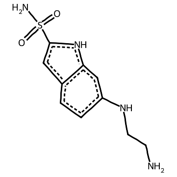 NCCNc1ccc2cc(S(N)(=O)=O)[nH]c2c1